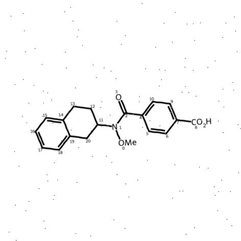 CON(C(=O)c1ccc(C(=O)O)cc1)C1CCc2ccccc2C1